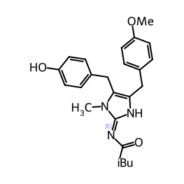 CCC(C)C(=O)/N=c1\[nH]c(Cc2ccc(OC)cc2)c(Cc2ccc(O)cc2)n1C